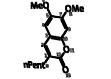 CCCCCc1cc2cc(OC)c(OC)cc2oc1=O